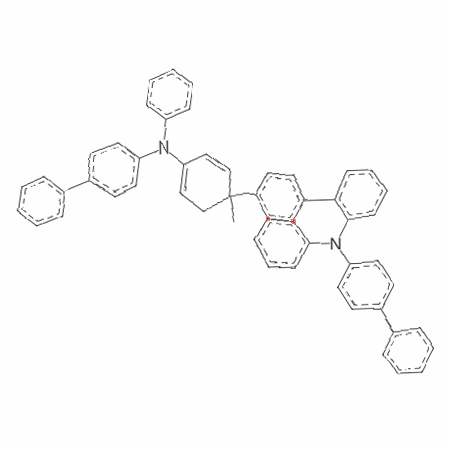 CC1(c2ccc(-c3ccccc3N(c3ccccc3)c3ccc(-c4ccccc4)cc3)cc2)C=CC(N(c2ccccc2)c2ccc(-c3ccccc3)cc2)=CC1